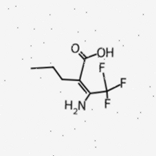 CCCC(C(=O)O)=C(N)C(F)(F)F